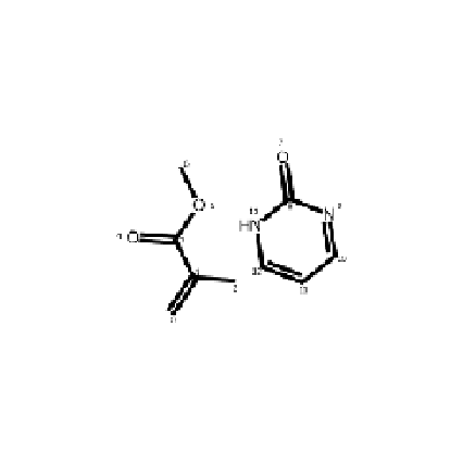 C=C(C)C(=O)OC.O=c1nccc[nH]1